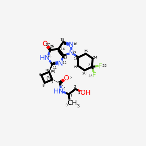 CC(CO)NC(=O)[C@@H]1CC[C@H]1c1nc2c(cnn2C2CCC(F)(F)CC2)c(=O)[nH]1